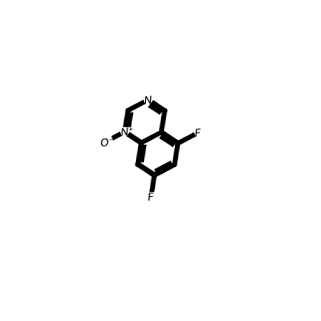 [O-][n+]1cncc2c(F)cc(F)cc21